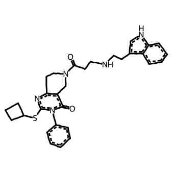 O=C(CCNCCc1c[nH]c2ccccc12)N1CCc2nc(SC3CCC3)n(-c3ccccc3)c(=O)c2C1